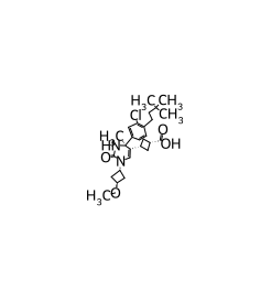 CO[C@H]1C[C@H](N2C=C([C@H]3C[C@@H](C(=O)O)C3)[C@](C)(c3ccc(CCC(C)(C)C)c(Cl)c3)NC2=O)C1